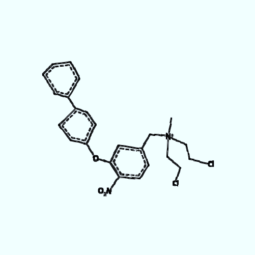 C[N+](CCCl)(CCCl)Cc1ccc([N+](=O)[O-])c(Oc2ccc(-c3ccccc3)cc2)c1